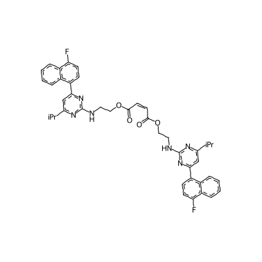 CC(C)c1cc(-c2ccc(F)c3ccccc23)nc(NCCOC(=O)/C=C\C(=O)OCCNc2nc(-c3ccc(F)c4ccccc34)cc(C(C)C)n2)n1